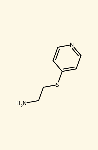 NCCSc1ccncc1